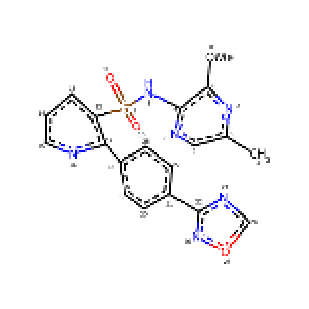 COc1nc(C)cnc1NS(=O)(=O)c1cccnc1-c1ccc(-c2ncon2)cc1